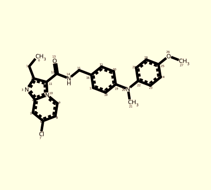 CCc1nc2cc(Cl)ccn2c1C(=O)NCc1ccc(N(C)c2ccc(OC)cc2)cc1